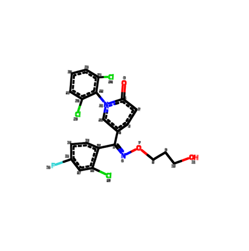 O=c1ccc(/C(=N\OCCCO)c2ccc(F)cc2Cl)cn1-c1c(Cl)cccc1Cl